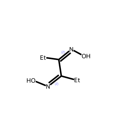 CCC(=N/O)/C(CC)=N\O